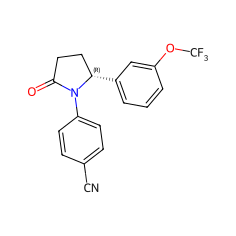 N#Cc1ccc(N2C(=O)CC[C@@H]2c2cccc(OC(F)(F)F)c2)cc1